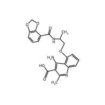 Cc1nc2cccc(OCC(C)NC(=O)c3cccc4c3OCO4)c2c(N)c1C(=O)O